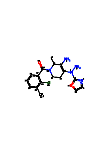 CC1C(N)=C(N(N)c2ncco2)CCN1C(=O)c1cccc(C(F)(F)F)c1Cl